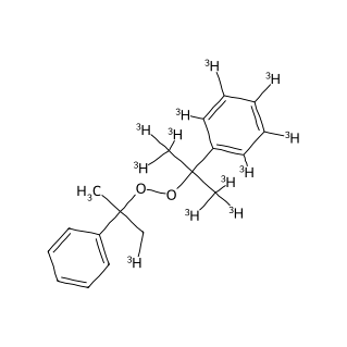 [3H]CC(C)(OOC(c1c([3H])c([3H])c([3H])c([3H])c1[3H])(C([3H])([3H])[3H])C([3H])([3H])[3H])c1ccccc1